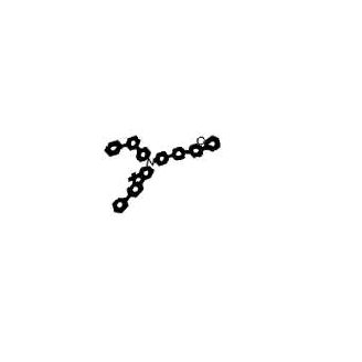 CC1(C)c2cc(-c3ccccc3)ccc2-c2ccc(N(c3ccc(-c4ccc(-c5ccc6c(c5)oc5ccccc56)cc4)cc3)c3ccc(-c4cccc(-c5ccccc5)c4)cc3)cc21